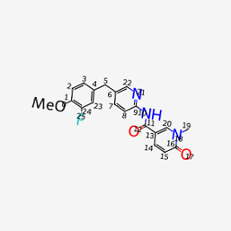 COc1ccc(Cc2ccc(NC(=O)c3ccc(=O)n(C)c3)nc2)cc1F